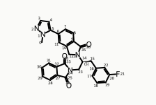 Cn1nccc1-c1ccc2c(c1)CN([C@@H](Cc1cccc(F)c1)CN1C(=O)c3ccccc3C1=O)C2=O